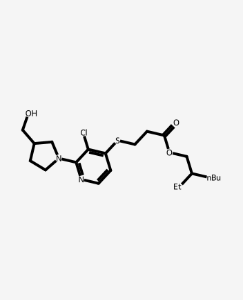 CCCCC(CC)COC(=O)CCSc1ccnc(N2CCC(CO)C2)c1Cl